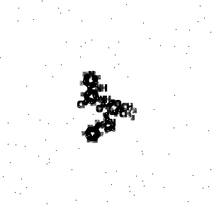 CC1(C)CN(CC2=NCCN2Cc2ccccc2)[C@H](C(=O)Nc2cc(Cl)cc3c2[nH]c2cnccc23)CO1